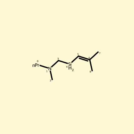 CCCN(C)C[SiH2]C=C(C)C